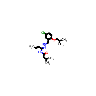 C/C=C/C(=N\NCc1cc(Cl)ccc1OCC(C)C)NC(=O)CC(C)C